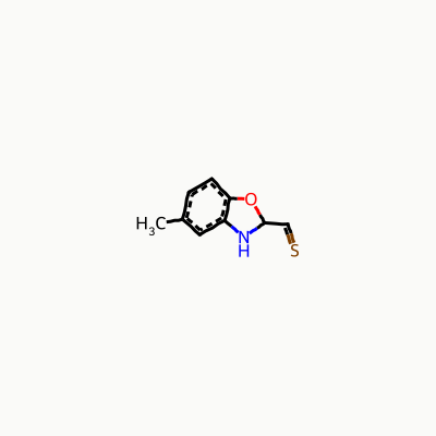 Cc1ccc2c(c1)NC(C=S)O2